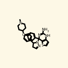 CN1CCC(Oc2ccc(C3(N4N=CCC4c4ccccc4)N=C(N)Nc4ccsc43)cc2)CC1